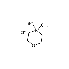 CCC[N+]1(C)CCOCC1.[Cl-]